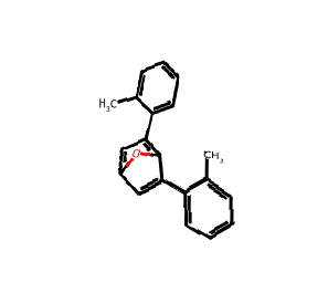 Cc1ccccc1-c1cc2cc(-c3ccccc3C)c1o2